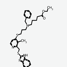 CCOC(=O)CCCCN(CCCSc1ccnc(CSc2nc3ccccc3[nH]2)c1C)Cc1ccccc1